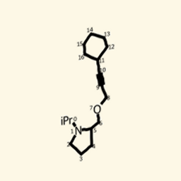 CC(C)N1CCCC1COCC#CC1CCCCC1